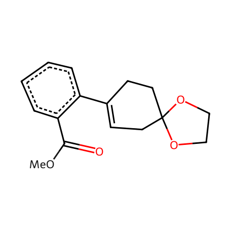 COC(=O)c1ccccc1C1=CCC2(CC1)OCCO2